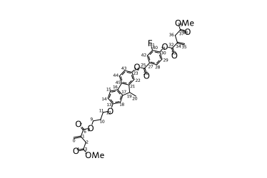 C=C(CC(=O)OC)C(=O)OCCCOc1ccc2c(c1)C(C)c1cc(OC(=O)c3ccc(OC(=O)C(=C)CC(=O)OC)c(F)c3)ccc1-2